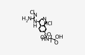 CC(C)(NS(=O)(=O)c1ccc2c(NC(N)=NCl)cncc2c1)C(=O)O.Cl